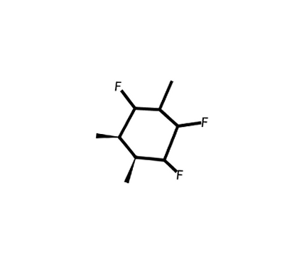 CC1C(F)C(F)[C@@H](C)[C@@H](C)C1F